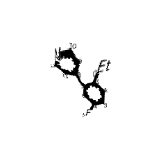 CCc1ccc(F)cc1-c1ccncc1